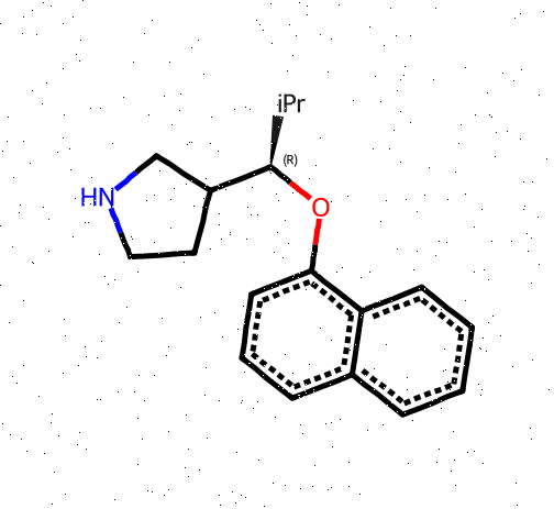 CC(C)[C@@H](Oc1cccc2ccccc12)C1CCNC1